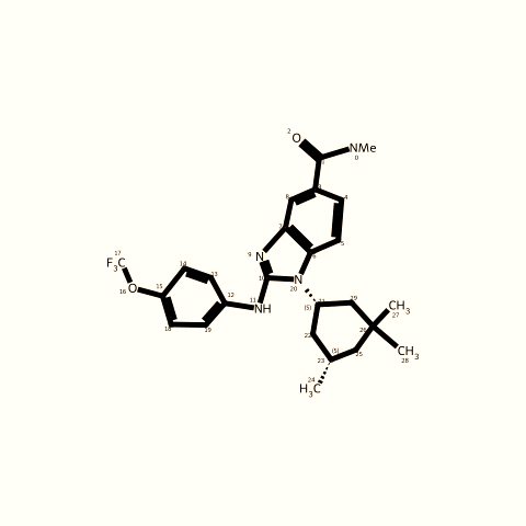 CNC(=O)c1ccc2c(c1)nc(Nc1ccc(OC(F)(F)F)cc1)n2[C@H]1C[C@@H](C)CC(C)(C)C1